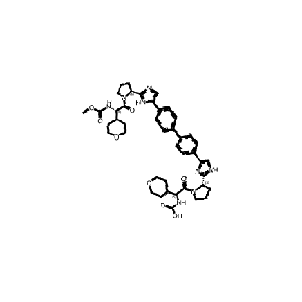 COC(=O)N[C@H](C(=O)N1CCC[C@H]1c1ncc(-c2ccc(-c3ccc(-c4c[nH]c([C@@H]5CCCN5C(=O)[C@@H](NC(=O)O)C5CCOCC5)n4)cc3)cc2)[nH]1)C1CCOCC1